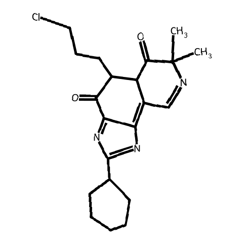 CC1(C)N=CC2=C3N=C(C4CCCCC4)N=C3C(=O)C(CCCCl)C2C1=O